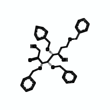 O=C(CO)[C@@H](OCc1ccccc1)[C@@H](OCc1ccccc1)[C@H](OCc1ccccc1)[C@H](O)CCOCc1ccccc1